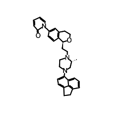 C[C@@H]1CN(c2ccc3c4c(cccc24)CC3)CCN1CC[C@@H]1OCCc2cc(-n3ccccc3=O)ccc21